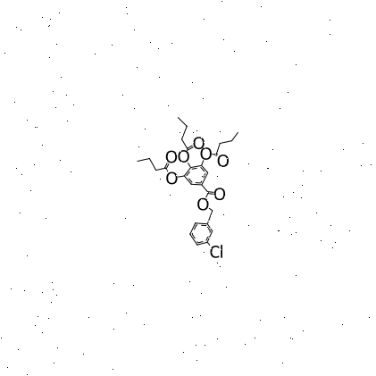 CCCC(=O)Oc1cc(C(=O)OCc2cccc(Cl)c2)cc(OC(=O)CCC)c1OC(=O)CCC